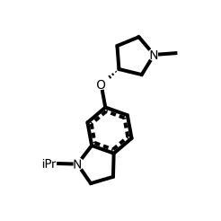 CC(C)N1CCc2ccc(O[C@@H]3CCN(C)C3)cc21